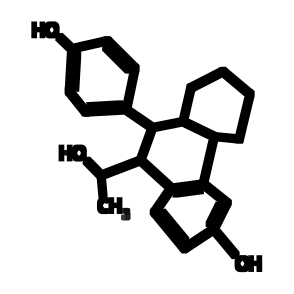 CC(O)C1c2ccc(O)cc2C2CCCCC2C1c1ccc(O)cc1